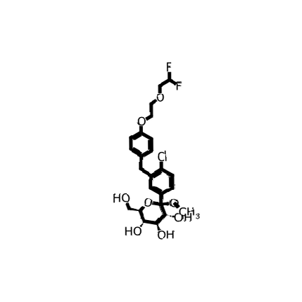 COC1(c2ccc(Cl)c(Cc3ccc(OCCOCC(F)F)cc3)c2)O[C@H](CO)[C@@H](O)[C@H](O)[C@H]1O